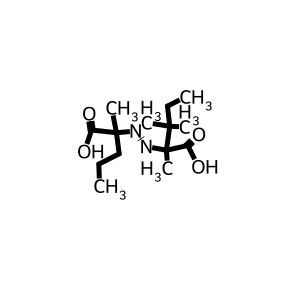 CCCC(C)(/N=N/C(C)(C(=O)O)C(C)(C)CC)C(=O)O